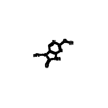 CCCn1c(=O)[nH]c2nc(OCC)ncc21